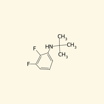 CC(C)(C)Nc1cccc(F)c1F